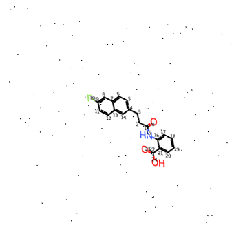 O=C(CCc1ccc2cc(F)ccc2c1)Nc1ccccc1C(=O)O